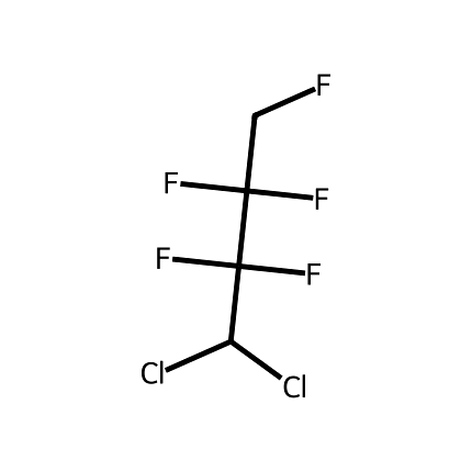 FCC(F)(F)C(F)(F)C(Cl)Cl